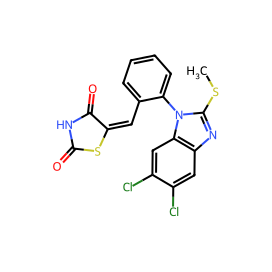 CSc1nc2cc(Cl)c(Cl)cc2n1-c1ccccc1C=C1SC(=O)NC1=O